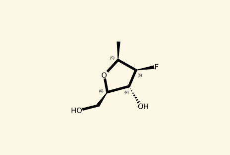 C[C@@H]1O[C@H](CO)[C@@H](O)[C@@H]1F